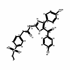 CCS(=O)(=O)c1ccc(CC(=O)Nc2nc(-c3ccc(Cl)cc3)c(C(=O)c3ccc(Cl)cc3)s2)cc1